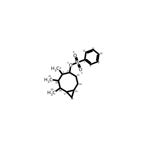 CC1C(OS(=O)(=O)c2ccccc2)CCC2CC2C(C)C1C